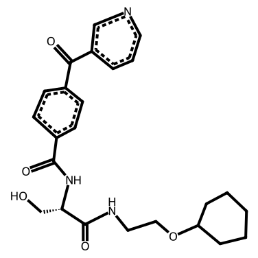 O=C(N[C@@H](CO)C(=O)NCCOC1CCCCC1)c1ccc(C(=O)c2cccnc2)cc1